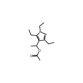 CCc1nn(CC)c(CC)c1C(C)OC(C)=O